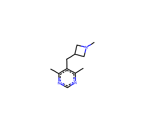 Cc1ncnc(C)c1CC1CN(C)C1